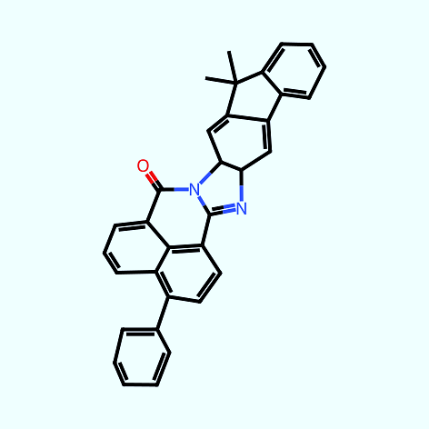 CC1(C)C2=CC3C(C=C2c2ccccc21)N=c1c2ccc(-c4ccccc4)c4cccc(c(=O)n13)c42